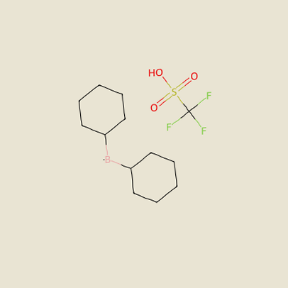 O=S(=O)(O)C(F)(F)F.[B](C1CCCCC1)C1CCCCC1